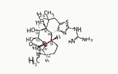 C=C1C(=O)[C@]23[C@H](O)[C@H]1CC[C@H]2[C@@]12CO[C@]3(O)[C@@H](O)[C@@H]1C(C)(C)Cc1sc(NC(=N)N)nc12